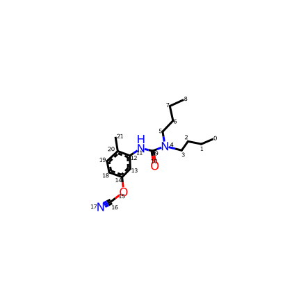 CCCCN(CCCC)C(=O)Nc1cc(OC#N)ccc1C